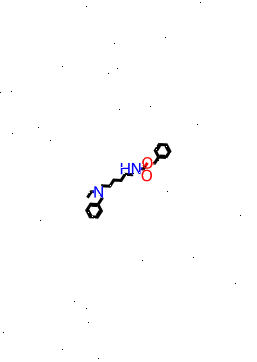 CCN(CCCCCCNC(=O)OCc1ccccc1)Cc1ccccc1